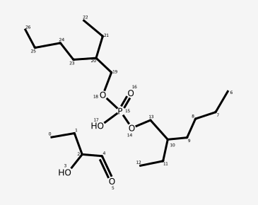 CCC(O)C=O.CCCCC(CC)COP(=O)(O)OCC(CC)CCCC